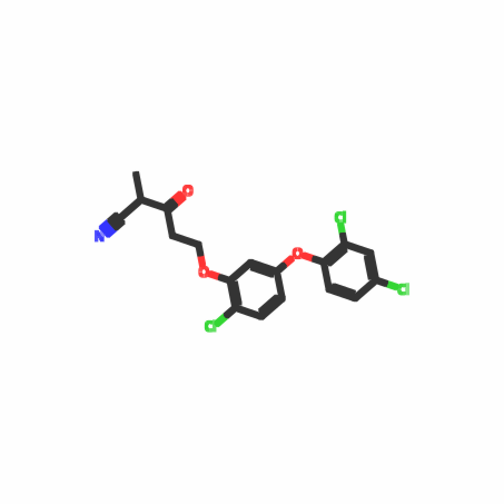 CC(C#N)C(=O)CCOc1cc(Oc2ccc(Cl)cc2Cl)ccc1Cl